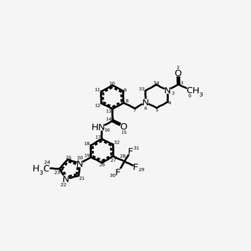 CC(=O)N1CCN(Cc2ccccc2C(=O)Nc2cc(-n3cnc(C)c3)cc(C(F)(F)F)c2)CC1